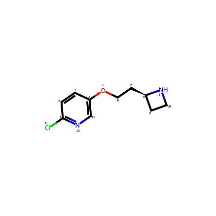 Clc1ccc(OCC[C@@H]2CCN2)cn1